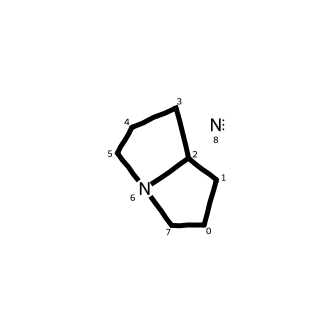 C1CC2CCCN2C1.[N]